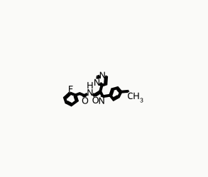 CCc1ccc(-c2noc(NC(=O)Cc3ccccc3F)c2-c2ccncn2)cc1